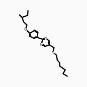 CCCCCCCOCc1cnc(-c2ccc(OCCC(C)CC)cc2)nc1